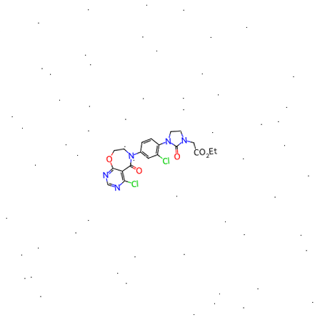 CCOC(=O)CN1CCN(c2ccc(N3CCOc4ncnc(Cl)c4C3=O)cc2Cl)C1=O